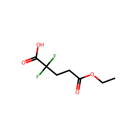 CCOC(=O)CCC(F)(F)C(=O)O